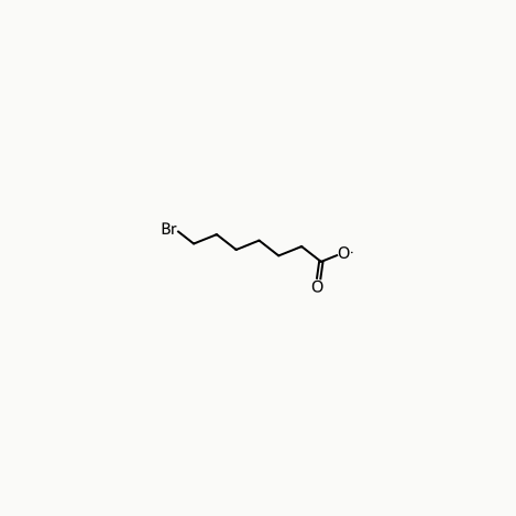 [O]C(=O)CCCCCCBr